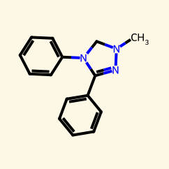 CN1CN(c2ccccc2)C(c2ccccc2)=N1